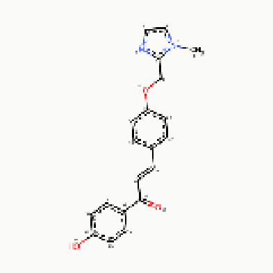 Cn1ccnc1COc1ccc(/C=C/C(=O)c2ccc(O)cc2)cc1